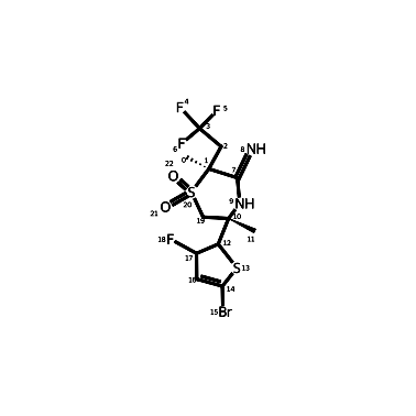 C[C@]1(CC(F)(F)F)C(=N)N[C@](C)(C2SC(Br)=CC2F)CS1(=O)=O